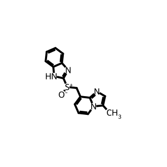 Cc1cnc2c(C[S+]([O-])c3nc4ccccc4[nH]3)cccn12